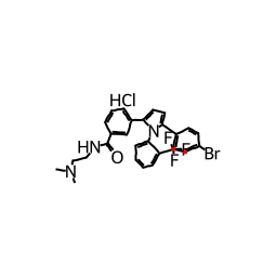 CN(C)CCNC(=O)c1cccc(-c2ccc(-c3ccc(Br)cc3)n2-c2ccccc2C(F)(F)F)c1.Cl